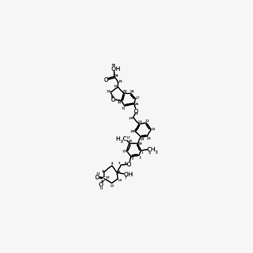 Cc1cc(OCC2(O)CCS(=O)(=O)CC2)cc(C)c1-c1cccc(COc2ccc3c(c2)OC[C@H]3CC(=O)O)c1